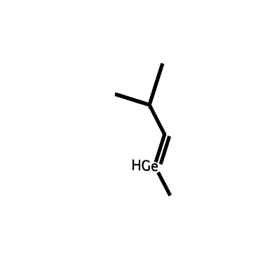 [CH3][GeH]=[CH][C](C)C